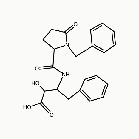 O=C(O)C(O)C(Cc1ccccc1)NC(=O)C1CCC(=O)N1Cc1ccccc1